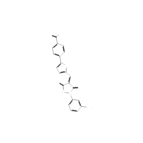 Cc1cccc(N2NC(=O)/C(=C\c3ccc(-c4ccc(C(=O)O)cc4)o3)C2=O)c1